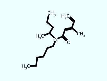 C=CC(C)=CC(=O)N(CCCCCC)C(C)CCC